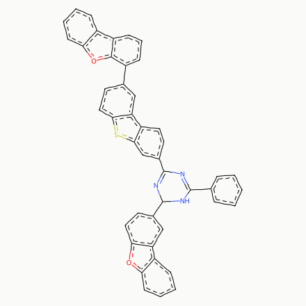 c1ccc(C2=NC(c3ccc4c(c3)sc3ccc(-c5cccc6c5oc5ccccc56)cc34)=NC(c3ccc4oc5ccccc5c4c3)N2)cc1